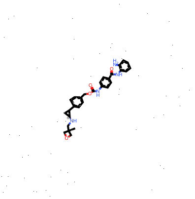 CC1(CN[C@H]2CC2c2ccc(COC(=O)Nc3ccc(C(=O)Nc4ccccc4N)cc3)cc2)COC1